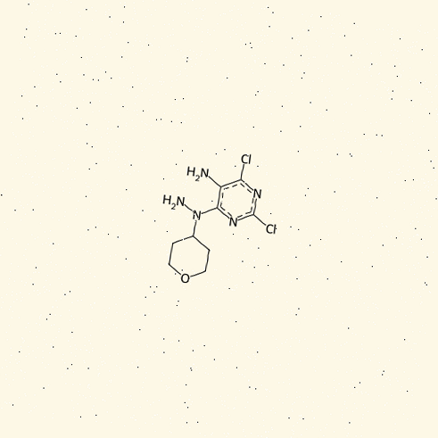 Nc1c(Cl)nc(Cl)nc1N(N)C1CCOCC1